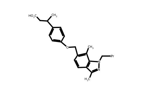 Cc1nn(CC(C)C)c2c(C)c(COc3ccc(C(C)CC(=O)O)cc3)ccc12